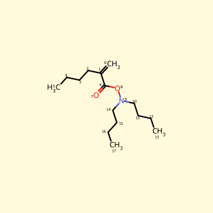 C=C(CCCC)C(=O)ON(CCCC)CCCC